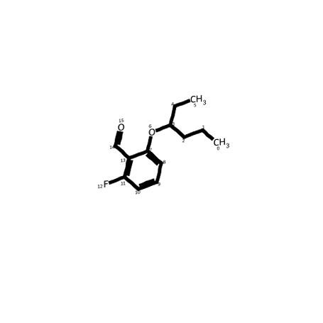 CCCC(CC)Oc1cccc(F)c1C=O